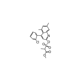 COC(=O)C(C)S(=O)(=O)Oc1cc(-c2ccccc2Cl)c2c(C)cc(C)cc2n1